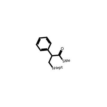 CCCCCCCCC(C(=O)SC)c1ccccc1